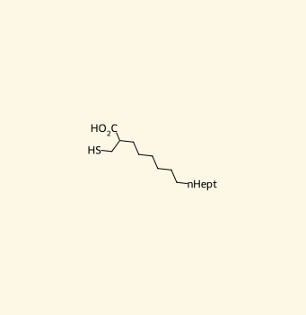 CCCCCCCCCCCCCC(CS)C(=O)O